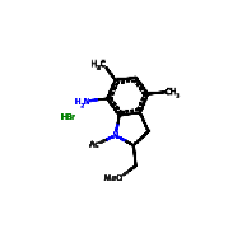 Br.COCC1Cc2c(C)cc(C)c(N)c2N1C(C)=O